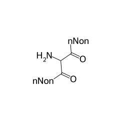 CCCCCCCCCC(=O)C(N)C(=O)CCCCCCCCC